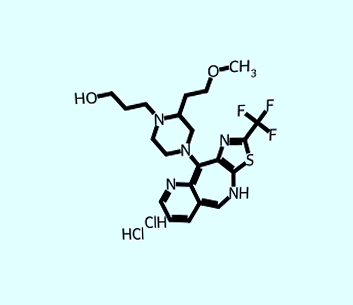 COCCC1CN(C2=c3ncccc3=CNc3sc(C(F)(F)F)nc32)CCN1CCCO.Cl.Cl